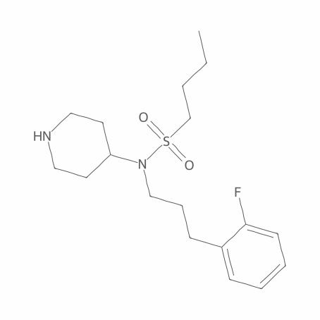 CCCCS(=O)(=O)N(CCCc1ccccc1F)C1CCNCC1